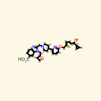 O=C(O)c1ccc2nc(CN3CCC(c4cccc(OCc5ccc(C(=O)C6CC6)s5)n4)CC3)n(CC3CCO3)c2c1